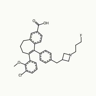 COc1c(Cl)cccc1C1=C(c2ccc(CC3CN(CCCF)C3)cc2)c2ccc(C(=O)O)cc2CCC1